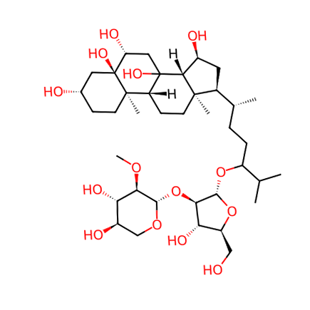 CO[C@H]1[C@H](O[C@H]2[C@H](OC(CC[C@@H](C)[C@@H]3C[C@H](O)[C@H]4C5(O)C[C@@H](O)[C@@]6(O)C[C@@H](O)CC[C@]6(C)[C@H]5CC[C@]34C)C(C)C)O[C@@H](CO)[C@@H]2O)OC[C@@H](O)[C@@H]1O